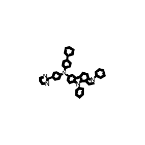 c1ccc(-c2ccc(N(c3ccc(-c4ncccn4)cc3)c3ccc4c(c3)c3ccc5c(ccn5-c5ccccc5)c3n4-c3ccccc3)cc2)cc1